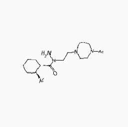 CC(=O)[C@H]1CCCC[C@H]1C(=O)N(N)CCN1CCN(C(C)=O)CC1